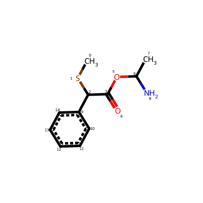 CSC(C(=O)OC(C)N)c1ccccc1